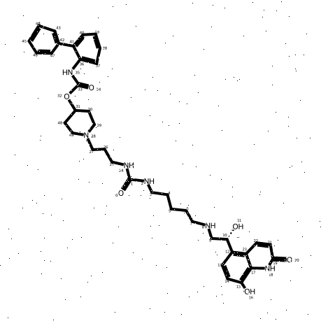 O=C(NCCCCCNC[C@H](O)c1ccc(O)c2[nH]c(=O)ccc12)NCCCN1CCC(OC(=O)Nc2ccccc2-c2ccccc2)CC1